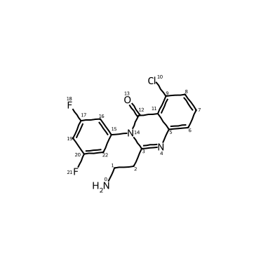 NCCc1nc2cccc(Cl)c2c(=O)n1-c1cc(F)cc(F)c1